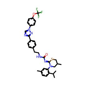 Cc1ccc(C(C)C)c(N2CC(C)CSC2=NC(=O)NCCc2ccc(-c3ncn(-c4ccc(OC(F)(F)F)cc4)n3)cc2)c1